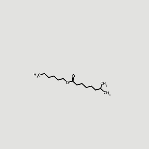 CCCCCCOC(=O)CCCCCC(C)C